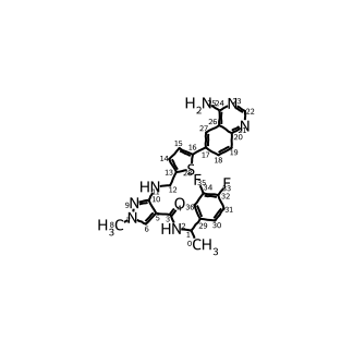 CC(NC(=O)c1cn(C)nc1NCc1ccc(-c2ccc3ncnc(N)c3c2)s1)c1ccc(F)c(F)c1